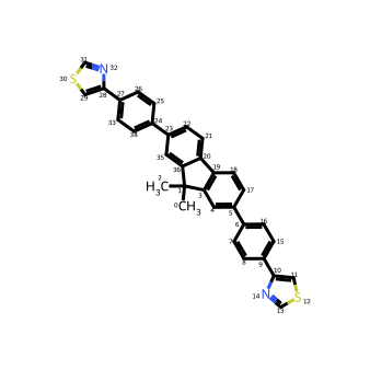 CC1(C)c2cc(-c3ccc(-c4cscn4)cc3)ccc2-c2ccc(-c3ccc(-c4cscn4)cc3)cc21